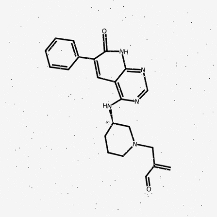 C=C(C=O)CN1CCC[C@@H](Nc2ncnc3[nH]c(=O)c(-c4ccccc4)cc23)C1